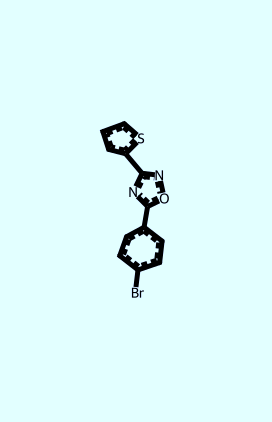 Brc1ccc(-c2nc(-c3cccs3)no2)cc1